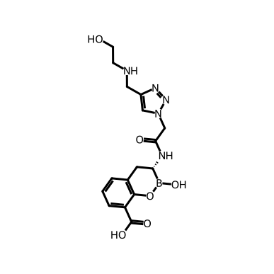 O=C(Cn1cc(CNCCO)nn1)N[C@H]1Cc2cccc(C(=O)O)c2OB1O